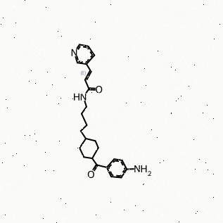 Nc1ccc(C(=O)C2CCC(CCCCNC(=O)/C=C/c3cccnc3)CC2)cc1